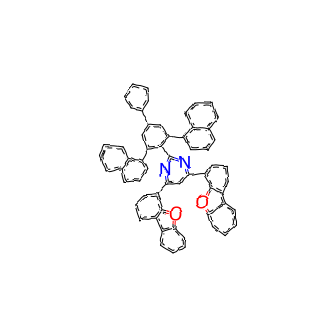 c1ccc(-c2cc(-c3cccc4ccccc34)c(-c3nc(-c4cccc5c4oc4ccccc45)cc(-c4cccc5c4oc4ccccc45)n3)c(-c3cccc4ccccc34)c2)cc1